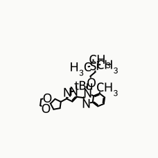 Cc1cccc2nc(-c3cc(C4CCC5(C4)OCCO5)nn3C(C)(C)C)n(COCC[Si](C)(C)C)c12